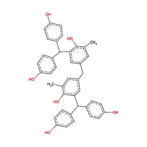 Cc1cc(Cc2cc(C)c(O)c(C(c3ccc(O)cc3)c3ccc(O)cc3)c2)cc(C(c2ccc(O)cc2)c2ccc(O)cc2)c1O